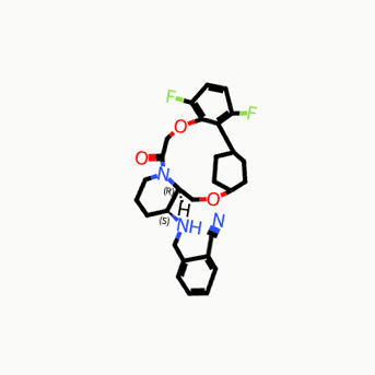 N#Cc1ccccc1CN[C@H]1CCCN2C(=O)COc3c(F)ccc(F)c3C3CCC(CC3)OC[C@@H]12